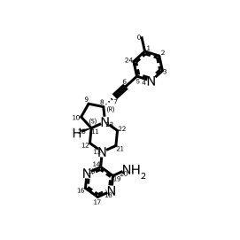 Cc1ccnc(C#C[C@H]2CC[C@H]3CN(c4nccnc4N)CCN32)c1